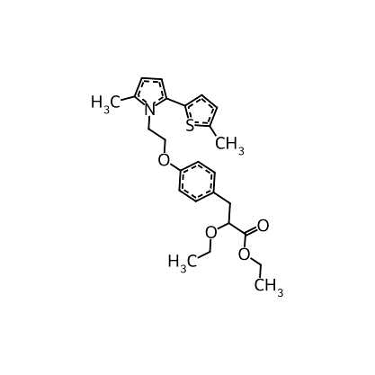 CCOC(=O)C(Cc1ccc(OCCn2c(C)ccc2-c2ccc(C)s2)cc1)OCC